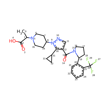 CC(C(=O)O)N1CCC(n2ncc(C(=O)N3CCCC3c3ccccc3C(F)(F)F)c2C2CC2)CC1